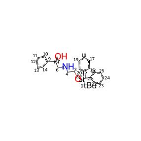 CC(C)(C)[Si](OCCNC[C@@H](O)c1ccccc1)(c1ccccc1)c1ccccc1